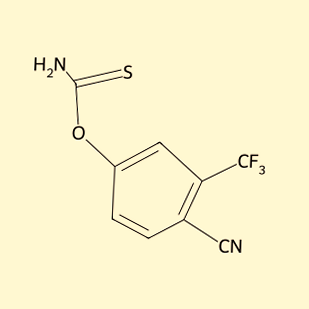 N#Cc1ccc(OC(N)=S)cc1C(F)(F)F